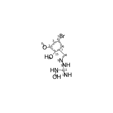 COc1cc(Br)cc(C=NNC(=N)NO)c1O